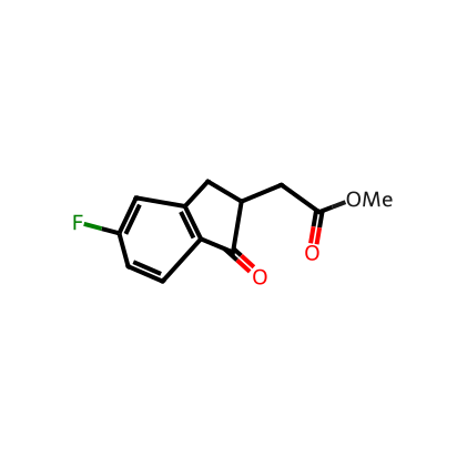 COC(=O)CC1Cc2cc(F)ccc2C1=O